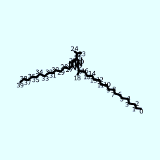 CCCCCCCCCCCCCCCCCC(C)c1nc(C(C)C)cn1CCCCCCCCCCCCC